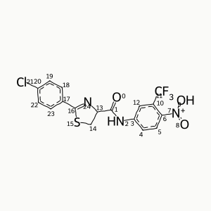 O=C(Nc1ccc([N+](=O)O)c(C(F)(F)F)c1)C1CSC(c2ccc(Cl)cc2)=N1